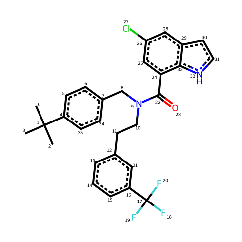 CC(C)(C)c1ccc(CN(CCc2cccc(C(F)(F)F)c2)C(=O)c2cc(Cl)cc3cc[nH]c23)cc1